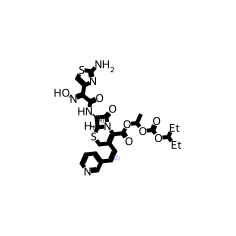 CCC(CC)OC(=O)OC(C)OC(=O)C1=C(/C=C\c2cccnc2)CS[C@H]2[C@H](NC(=O)C(=NO)c3csc(N)n3)C(=O)N12